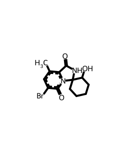 Cc1cc(Br)c(=O)n2c1C(=O)NC21CCCCC1O